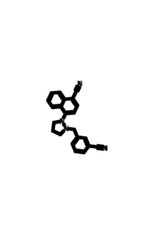 N#Cc1cccc(CN2CCCN2c2ccc(C#N)c3ccccc23)c1